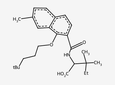 CCC(C)(C)C(NC(=O)c1ccc2ccc(C)cc2c1OCCCC(C)(C)C)C(=O)O